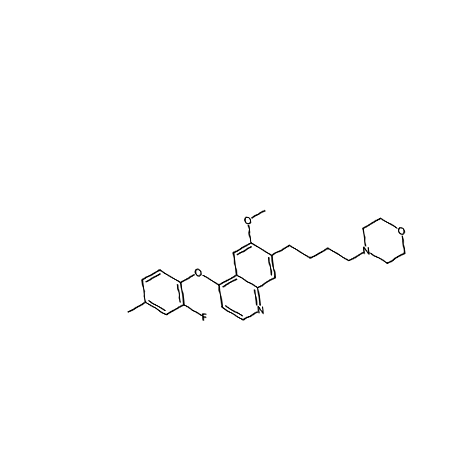 COc1cc2c(Oc3ccc(C)cc3F)ccnc2cc1CCCCN1CCOCC1